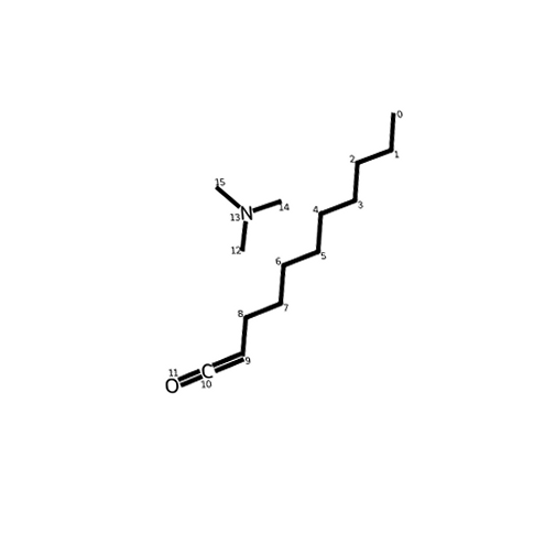 CCCCCCCCCC=C=O.CN(C)C